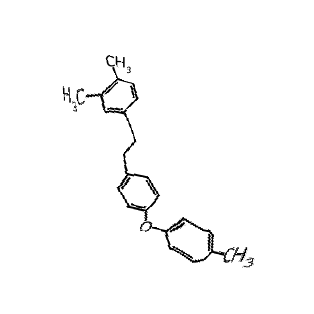 Cc1ccc(Oc2ccc(CCc3ccc(C)c(C)c3)cc2)cc1